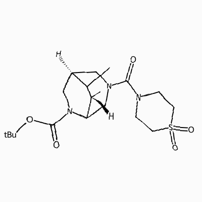 CC1[C@@H]2CN(C(=O)N3CCS(=O)(=O)CC3)CC([C@H]1C)N(C(=O)OC(C)(C)C)C2